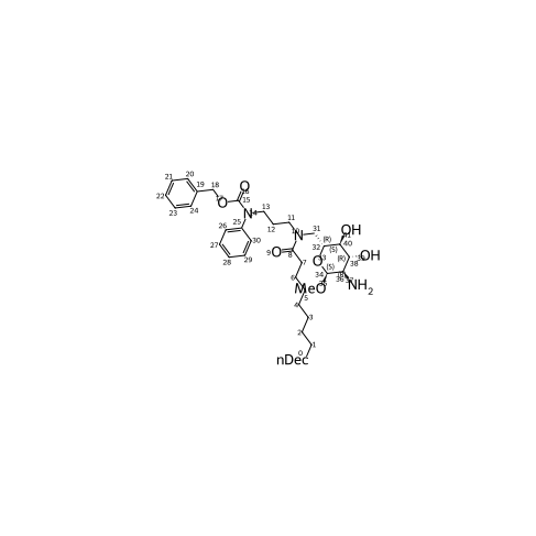 CCCCCCCCCCCCCCCCCC(=O)N(CCCN(C(=O)OCc1ccccc1)c1ccccc1)C[C@H]1O[C@H](OC)[C@H](N)[C@@H](O)[C@@H]1O